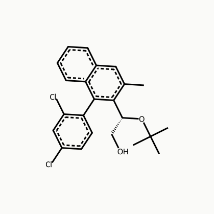 Cc1cc2ccccc2c(-c2ccc(Cl)cc2Cl)c1[C@@H](CO)OC(C)(C)C